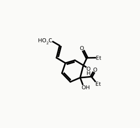 CCC(=O)C1(O)C=CC(C=CC(=O)O)=CC1(O)C(=O)CC